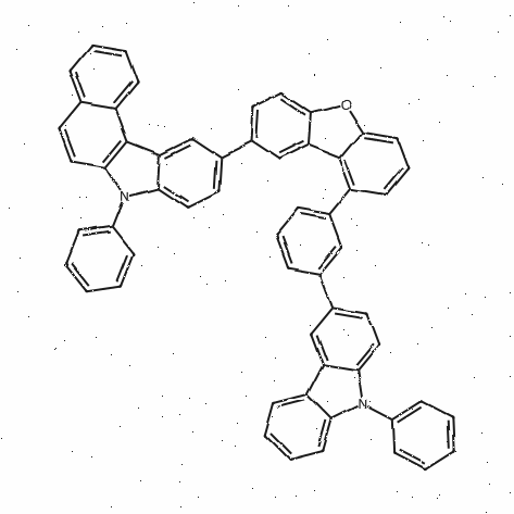 c1ccc(-n2c3ccccc3c3cc(-c4cccc(-c5cccc6oc7ccc(-c8ccc9c(c8)c8c%10ccccc%10ccc8n9-c8ccccc8)cc7c56)c4)ccc32)cc1